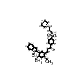 COc1cc(OC)c(-c2cc3ccccc3n2C)cc1C=CC(=O)c1ccc(S(=O)(=O)NCCN2CCOCC2)cc1